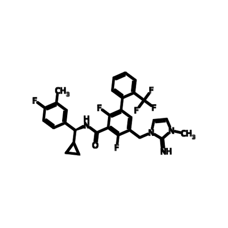 Cc1cc([C@@H](NC(=O)c2c(F)c(Cn3ccn(C)c3=N)cc(-c3ccccc3C(F)(F)F)c2F)C2CC2)ccc1F